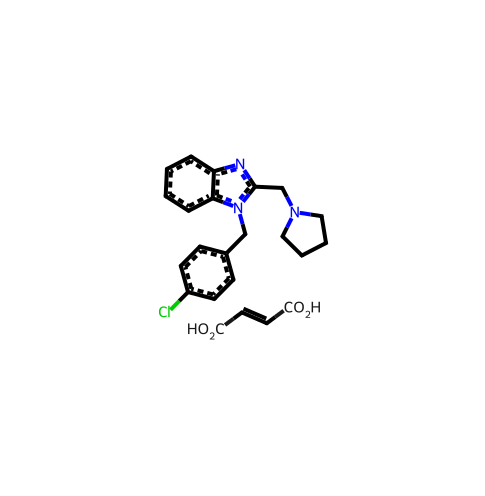 Clc1ccc(Cn2c(CN3CCCC3)nc3ccccc32)cc1.O=C(O)/C=C/C(=O)O